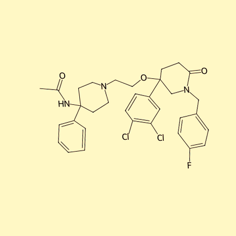 CC(=O)NC1(c2ccccc2)CCN(CCOC2(c3ccc(Cl)c(Cl)c3)CCC(=O)N(Cc3ccc(F)cc3)C2)CC1